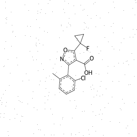 Cc1cccc(Cl)c1-c1noc(C2(F)CC2)c1C(=O)O